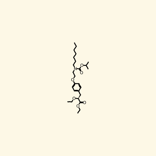 CCCCCCCN(CCOc1ccc(C[C@H](OCC)C(=O)OCC)cc1)C(=O)OC(C)C